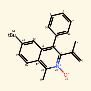 C=C(C)c1c(-c2ccccc2)c2cc(C(C)(C)C)ccc2c(C)[n+]1[O-]